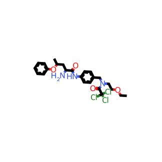 CCOCCN(Cc1ccc(NC(=O)C(N)CC(C)Oc2ccccc2)cc1)C(=O)C(Cl)(Cl)Cl